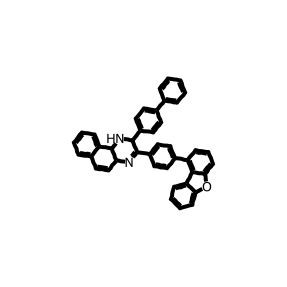 C1=CC2N=C(c3ccc(-c4cccc5oc6ccccc6c45)cc3)C(c3ccc(-c4ccccc4)cc3)NC2c2ccccc21